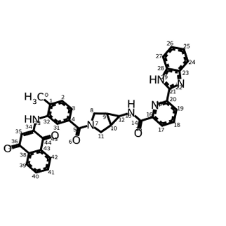 Cc1ccc(C(=O)N2CC3C(C2)C3NC(=O)c2cccc(-c3nc4ccccc4[nH]3)n2)cc1NC1=CC(=O)c2ccccc2C1=O